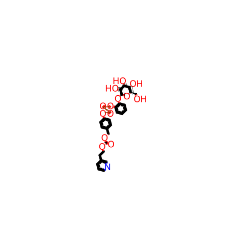 O=C(OCCc1cccnc1)OCc1ccc(OS(=O)(=O)Oc2ccccc2O[C@@H]2O[C@H](CO)[C@H](O)[C@H](O)[C@H]2O)cc1